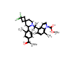 [2H]C([2H])(c1c(OC)cc(C)c2c1ccn2C(=O)OC(C)(C)C)N1CCC2(CC1c1ccc(C(=O)OC)cc1[N+](=O)[O-])CC(F)(F)C2